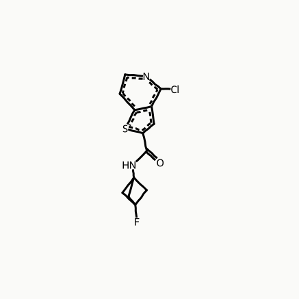 O=C(NC12CC(F)(C1)C2)c1cc2c(Cl)nccc2s1